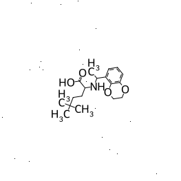 CC(NC(CCC(C)(C)C)C(=O)O)c1cccc2c1OCCO2